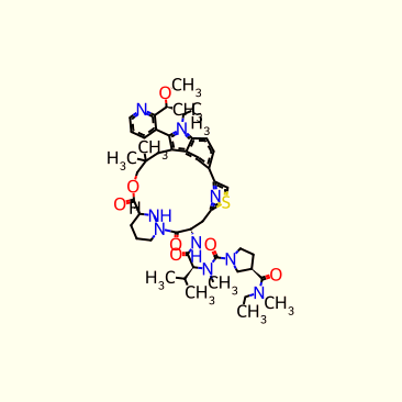 CCN(C)C(=O)[C@@H]1CCN(C(=O)N(C)[C@H](C(=O)N[C@H]2Cc3nc(cs3)-c3ccc4c(c3)c(c(-c3cccnc3[C@H](C)OC)n4CC)CC(C)(C)COC(=O)[C@@H]3CCCN(N3)C2=O)C(C)C)C1